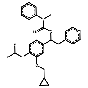 N=C(OC(Cc1ccncc1)c1ccc(OC(F)F)c(OCC2CC2)c1)B(I)c1ccccc1